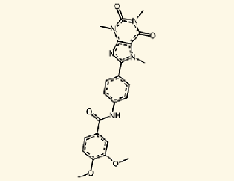 COc1ccc(C(=O)Nc2ccc(-c3nc4c(c(=O)n(C)c(=O)n4C)n3C)cc2)cc1OC